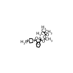 CC(OC(=O)C1C2CCC(O2)C1C(=O)N1CCN(C)CC1)OC(=O)C(C)(C)C